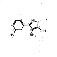 Bc1onc(-c2cccc(S)c2)c1B